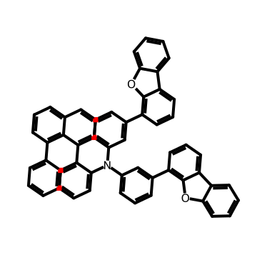 c1ccc(-c2cccc3cccc(-c4ccccc4N(c4cccc(-c5cccc6c5oc5ccccc56)c4)c4cccc(-c5cccc6c5oc5ccccc56)c4)c23)cc1